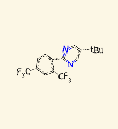 CC(C)(C)c1cnc(-c2ccc(C(F)(F)F)cc2C(F)(F)F)nc1